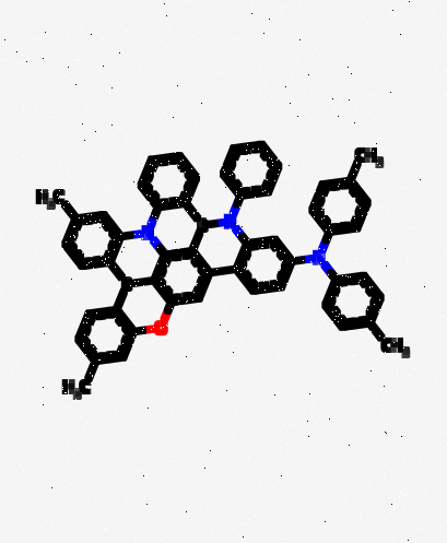 Cc1ccc(N(c2ccc(C)cc2)c2ccc3c(c2)N(c2ccccc2)B2c4ccccc4N4c5cc(C)ccc5B5c6ccc(C)cc6Oc6cc-3c2c4c65)cc1